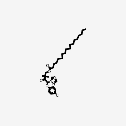 CCCCCCCCCCCCCCCCCC(=O)OCC(C)(C)C(=O)C(Oc1ccc(Cl)cc1)n1cncn1